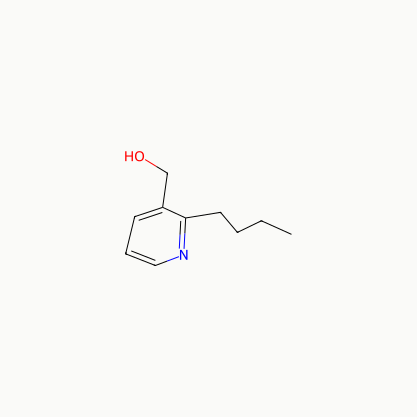 CCCCc1ncccc1CO